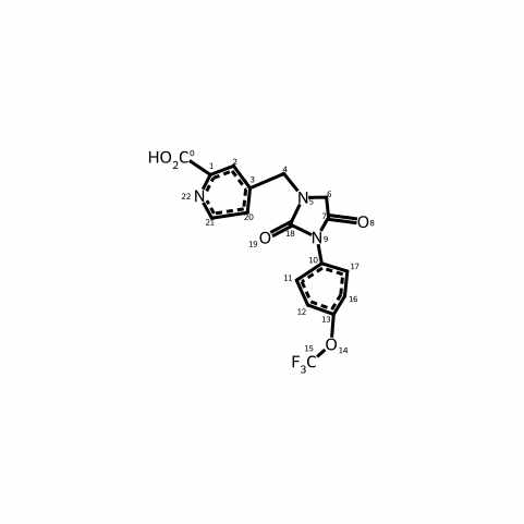 O=C(O)c1cc(CN2CC(=O)N(c3ccc(OC(F)(F)F)cc3)C2=O)ccn1